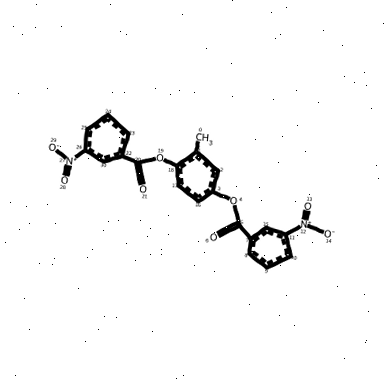 Cc1cc(OC(=O)c2cccc([N+](=O)[O-])c2)ccc1OC(=O)c1cccc([N+](=O)[O-])c1